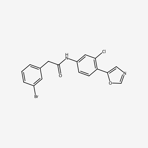 O=C(Cc1cccc(Br)c1)Nc1ccc(-c2cnco2)c(Cl)c1